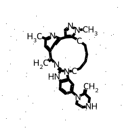 C=C1/N=C2\Nc3ccc(N4CCNCC4=C)cc3N2CCCCCCc2c(cnn2C)-c2cc1cc(C)n2